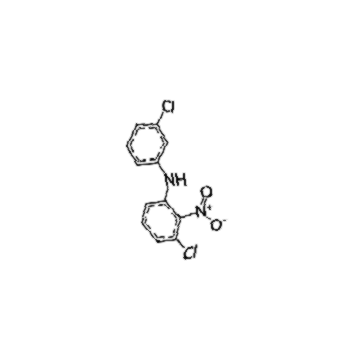 O=[N+]([O-])c1c(Cl)cccc1Nc1cccc(Cl)c1